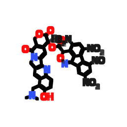 CC[C@@]1(OC(=O)[C@@H]2ON=C3c4cc([N+](=O)[O-])cc(N=O)c4-c4c([N+](=O)[O-])cc([N+](=O)[O-])c2c43)C(=O)OCc2c1cc1n(c2=O)Cc2cc3c(CN(C)C)c(O)ccc3nc2-1